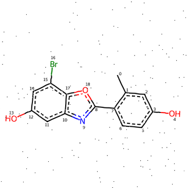 Cc1cc(O)ccc1-c1nc2cc(O)cc(Br)c2o1